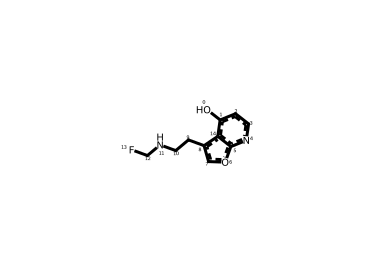 Oc1ccnc2occ(CCNCF)c12